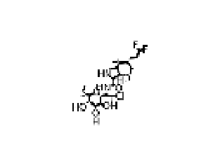 CSC1O[C@H]([C@H](NC(=O)[C@H]2NC[C@@H]3C[C@H](CCC(F)F)CCO[C@H]32)[C@H](C)Cl)C(O)C(O)[C@H]1O